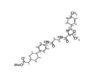 COC(=O)CC1CCC(c2ccc(NC(=O)CCNC(=O)c3nc(C4C=CC(C)=CC4)oc3C(F)(F)F)cc2)CC1